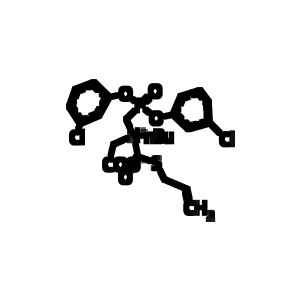 C=CCSC(=O)[N+](CCCC)(CC(=O)[O-])CP(=O)(Oc1cccc(Cl)c1)Oc1cccc(Cl)c1